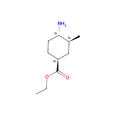 CCOC(=O)[C@H]1CC[C@H](N)[C@@H](C)C1